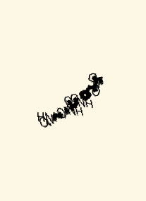 O=CNCCCOCCNC(=O)CC(=O)Nc1ccc(CC(=O)N2CCC2=O)cc1